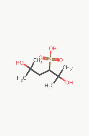 [CH2]C(C)(O)C(CC(C)(C)O)S(=O)(=O)O